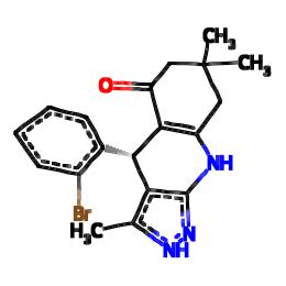 Cc1[nH]nc2c1[C@H](c1ccccc1Br)C1=C(CC(C)(C)CC1=O)N2